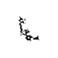 O=C1CN(CCCCCS(=O)(=O)N[C@@H](c2ccc(F)c(OCC3CC3)c2)C2COC2)C(=O)N1